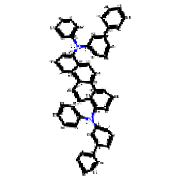 c1ccc(-c2cccc(N(c3ccccc3)c3cccc4c3ccc3c5cccc(N(c6ccccc6)c6cccc(-c7ccccc7)c6)c5ccc43)c2)cc1